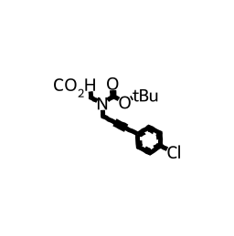 CC(C)(C)OC(=O)N(CC#Cc1ccc(Cl)cc1)CC(=O)O